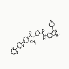 C[C@@H]1CN(c2ccc(-c3ncccn3)cn2)CCN1C(=O)CN1CC[C@@H](C(=O)Nc2ccc3[nH]nc(-c4ccncc4)c3c2)C1